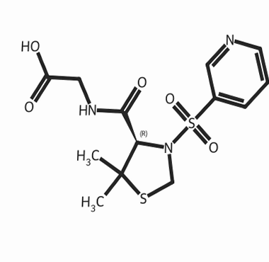 CC1(C)SCN(S(=O)(=O)c2cccnc2)[C@@H]1C(=O)NCC(=O)O